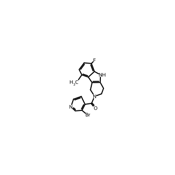 Cc1ccc(F)c2[nH]c3c(c12)CN(C(=O)c1ccncc1Br)CC3